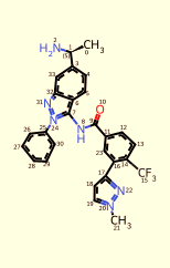 C[C@H](N)c1ccc2c(NC(=O)c3ccc(C(F)(F)F)c(-c4ccn(C)n4)c3)n(-c3ccccc3)nc2c1